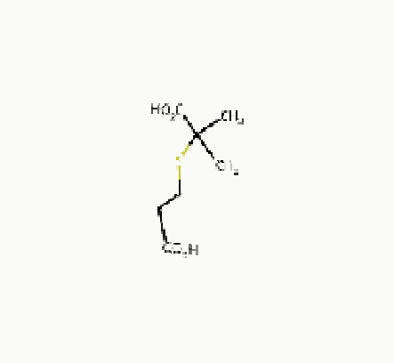 CC(C)(SCCC(=O)O)C(=O)O